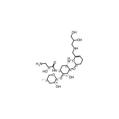 C[C@@H]1CO[C@H](O[C@@H]2[C@@H](O)[C@H](O[C@@H]3CCC=C(CNCC(O)CO)O3)[C@@H](N)C[C@H]2NC(=O)[C@H](O)CN)[C@H](O)C1